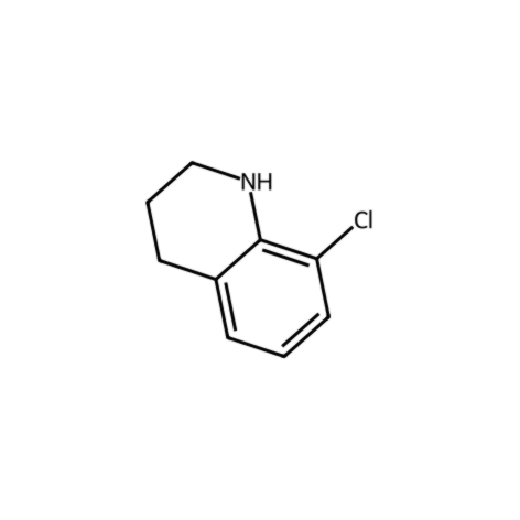 Clc1cccc2c1NCCC2